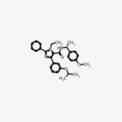 CCn1c(-c2ccccc2)nc(-c2cccc(OC(C)C)c2)c1C(=O)N[C@@H](C)c1ccc(OC)cc1